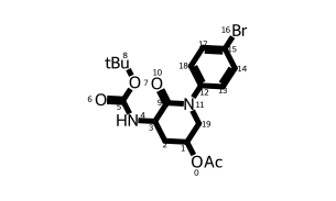 CC(=O)OC1CC(NC(=O)OC(C)(C)C)C(=O)N(c2ccc(Br)cc2)C1